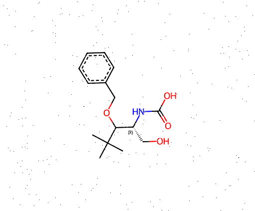 CC(C)(C)C(OCc1ccccc1)[C@@H](CO)NC(=O)O